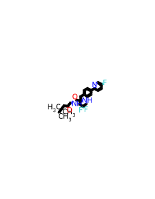 CCC(C)(C)CC(=O)CNC(=O)C1(Cc2ccc(-c3ccc(F)cn3)cc2)CC(F)(F)CN1